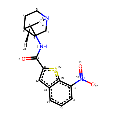 O=C(N[C@H]1CN2CCC1CC2)c1cc2cccc([N+](=O)[O-])c2s1